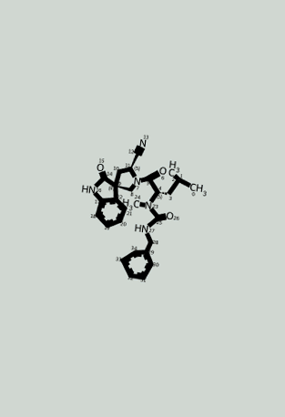 CC(C)C[C@@H](C(=O)N1C[C@]2(C[C@H]1C#N)C(=O)Nc1ccccc12)N(C)C(=O)NCc1ccccc1